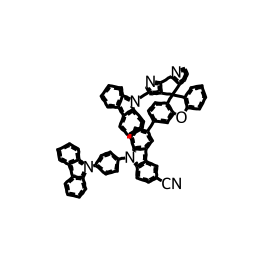 N#Cc1ccc2c(c1)c1cc(-c3ccc4c(c3)Oc3ccccc3C43c4cccnc4-c4ncc(-n5c6ccccc6c6ccccc65)cc43)ccc1n2-c1ccc(-n2c3ccccc3c3ccccc32)cc1